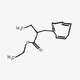 CCOC(=O)C(CC)c1ccccc1